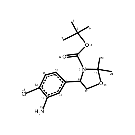 CC(C)(C)OC(=O)N1C(c2ccc(Cl)c(N)c2)COC1(C)C